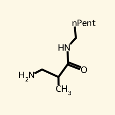 CCCCCCNC(=O)C(C)CN